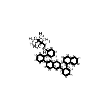 CC(C)(C)C(C)(C)CBc1ccccc1-c1ccccc1-c1ccc2c(c1)CCC(c1ccccc1-c1cccc3ccccc13)=C2